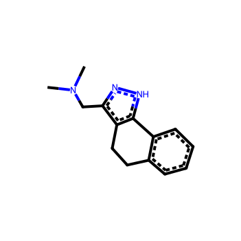 CN(C)Cc1n[nH]c2c1CCc1ccccc1-2